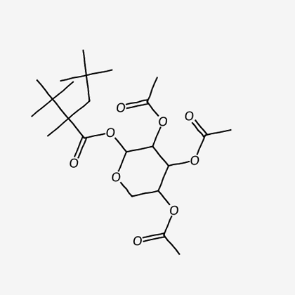 CC(=O)OC1COC(OC(=O)C(C)(CC(C)(C)C)C(C)(C)C)C(OC(C)=O)C1OC(C)=O